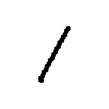 C=CC(=O)OCCOCCOCCOCCOCCOCCOCCOCCOCCOCCOCCOCCOCCOCCOCCOCCOCCOC